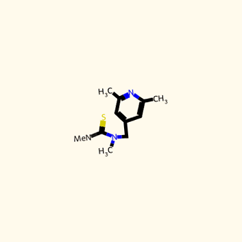 CNC(=S)N(C)Cc1cc(C)nc(C)c1